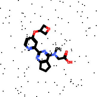 CN(CC(=O)O)c1nc(-c2cc(OC3COC3)ccn2)nc2c1CCC2